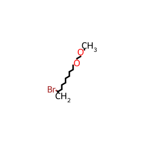 C=C(Br)CCCCCCCCOCCOCC